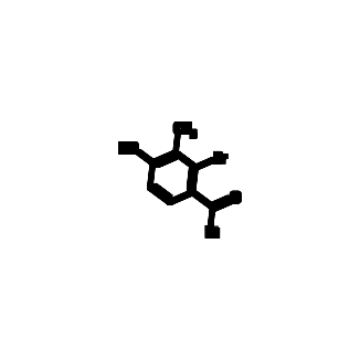 CCC(=O)c1ccc(O)c(C)c1Br